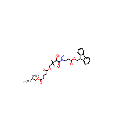 CCCCCCCCC(CCCCCC)COC(=O)CCCC(=O)OCC(C)(C)C(O)C(=O)NCCC(=O)OCC1c2ccccc2-c2ccccc21